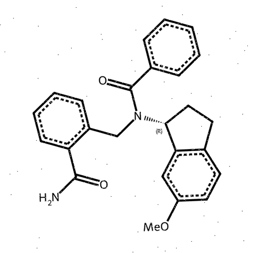 COc1ccc2c(c1)[C@H](N(Cc1ccccc1C(N)=O)C(=O)c1ccccc1)CC2